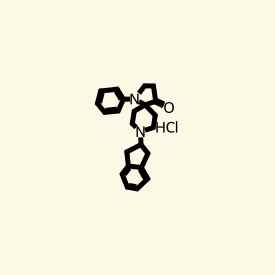 Cl.O=C1CCN(c2ccccc2)C12CCN(C1Cc3ccccc3C1)CC2